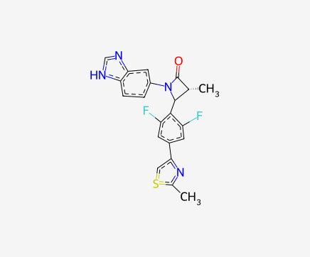 Cc1nc(-c2cc(F)c(C3[C@@H](C)C(=O)N3c3ccc4[nH]cnc4c3)c(F)c2)cs1